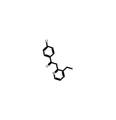 O=C(Cc1ncccc1CI)c1ccc(Cl)cc1